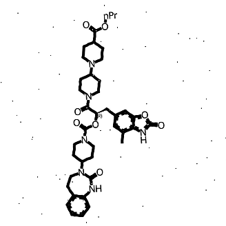 CCCOC(=O)C1CCN(C2CCN(C(=O)[C@@H](Cc3cc(C)c4[nH]c(=O)oc4c3)OC(=O)N3CCC(N4CCc5ccccc5NC4=O)CC3)CC2)CC1